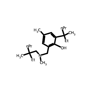 CCCC(C)(CC)CN(C)Cc1cc(C)cc(C(C)(CC)CCC)c1O